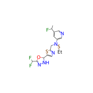 CCSN(Cc1ncc(C2NN=C(C(F)F)O2)s1)c1cncc(C(C)F)c1